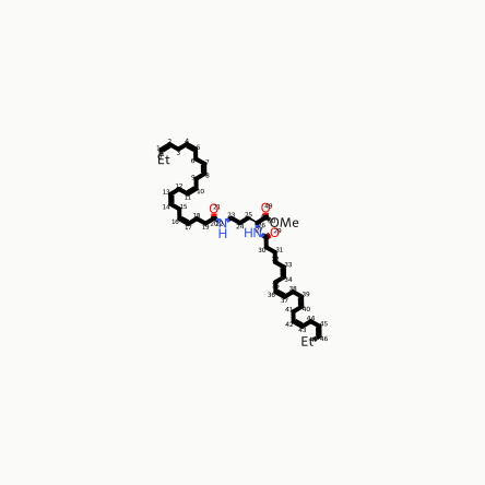 CC/C=C\C/C=C\C/C=C\C/C=C\C/C=C\C/C=C\CCC(=O)NCCC[C@H](NC(=O)CCC/C=C\C/C=C\C/C=C\C/C=C\C/C=C\CC)C(=O)OC